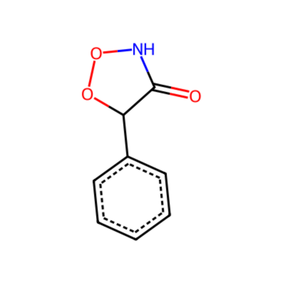 O=C1NOOC1c1ccccc1